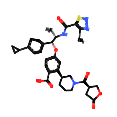 Cc1nnsc1C(=O)N[C@@H](C)[C@H](Oc1ccc(C(=O)O)c([C@@H]2CCCN(C(=O)[C@H]3COC(=O)C3)C2)c1)c1ccc(C2CC2)cc1